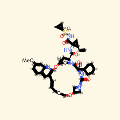 C=C[C@@H]1C[C@]1(NC(=O)[C@@H]1C[C@@H]2CN1C(=O)[C@H](C1CCCCC1)NC(=O)N1CC(C1)OCCC/C=C/c1cc3ccc(OC)cc3nc1O2)C(=O)NS(=O)(=O)C1CC1